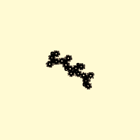 c1ccc(-n2c3ccc(-c4ccc5c(c4)c4c6c(cc(-c7ccc8oc9cc%10c%11cc(-c%12ccc%13c(c%12)c%12c%14c(ccc%12n%13-c%12ccccc%12)oc%12ccccc%12%14)ccc%11n(-c%11ccccc%11)c%10cc9c8c7)c4n5-c4ccccc4)sc4ccccc46)cc3c3cc4oc5ccccc5c4cc32)cc1